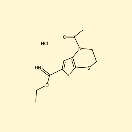 CCOC(=N)c1cc2c(s1)SCCN2C(C)=O.Cl